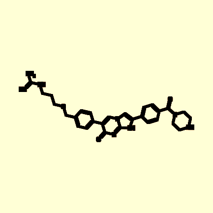 N=C(N)NCCCOCc1ccc(-c2cn3cc(-c4ccc(C(=O)N5CCNCC5)cc4)[nH]c3nc2=O)cc1